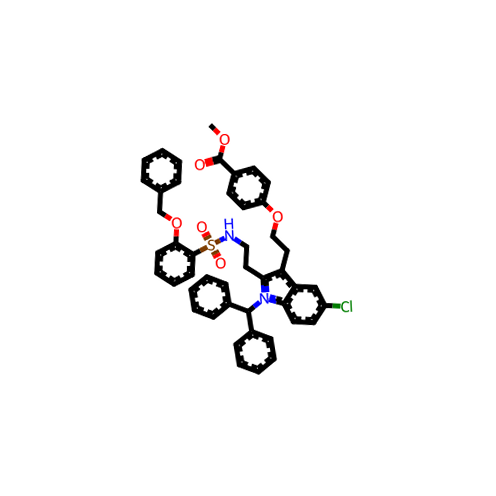 COC(=O)c1ccc(OCCc2c(CCNS(=O)(=O)c3ccccc3OCc3ccccc3)n(C(c3ccccc3)c3ccccc3)c3ccc(Cl)cc23)cc1